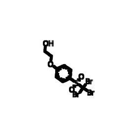 O=S(=O)(c1ccc(OCCO)cc1)C(Br)(Br)Br